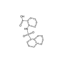 O=C(O)c1ccccc1NS(=O)(=O)c1cccc2ccccc12